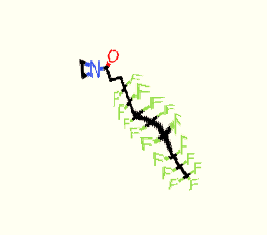 O=C(CCC(F)(F)C(F)(F)C(F)(F)C(F)(F)C(F)(F)C(F)(F)C(F)(F)C(F)(F)F)N1CC1